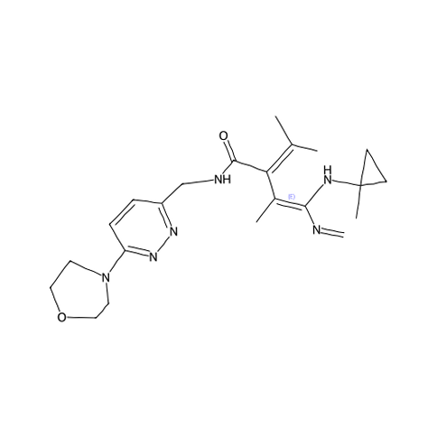 C=N/C(NC1(C)CC1)=C(\C)C(C(=O)NCc1ccc(N2CCOCC2)nn1)=C(C)C